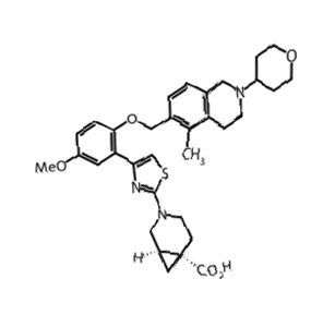 COc1ccc(OCc2ccc3c(c2C)CCN(C2CCOCC2)C3)c(-c2csc(N3CC[C@@]4(C(=O)O)C[C@H]4C3)n2)c1